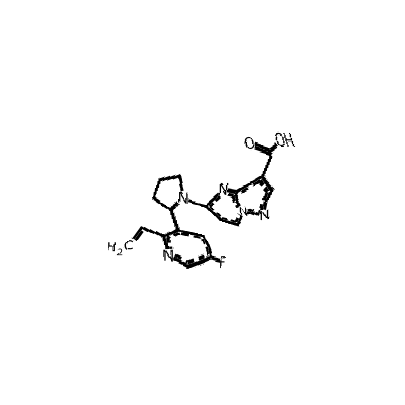 C=Cc1ncc(F)cc1C1CCCN1c1ccn2ncc(C(=O)O)c2n1